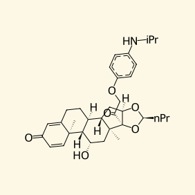 CCC[C@@H]1O[C@@H]2C[C@H]3[C@@H]4CCC5=CC(=O)C=C[C@]5(C)[C@H]4[C@@H](O)C[C@]3(C)[C@]2(C(=O)COc2ccc(NC(C)C)cc2)O1